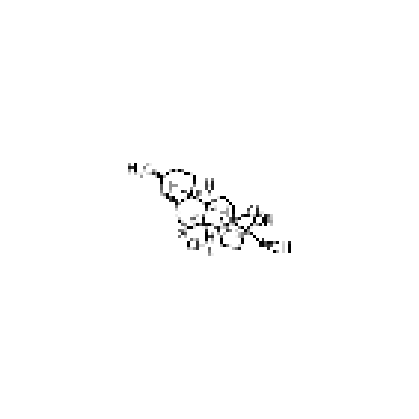 C#C[C@]1(O)CC[C@H]2[C@H]3[C@H](CC[C@@]21C)[C@H]1CCC(=C)C=C1C[C@H]3C